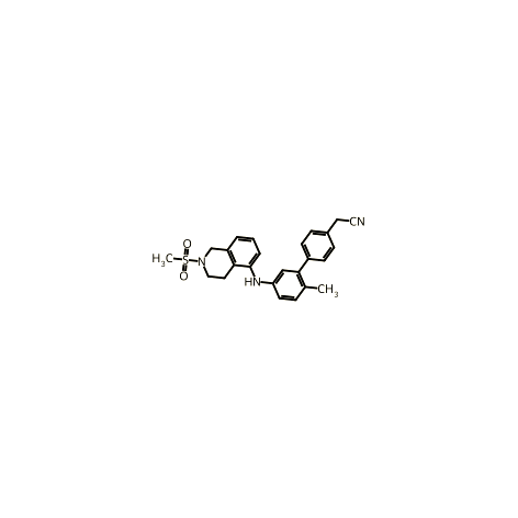 Cc1ccc(Nc2cccc3c2CCN(S(C)(=O)=O)C3)cc1-c1ccc(CC#N)cc1